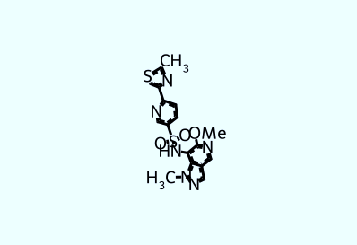 COc1ncc2cnn(C)c2c1NS(=O)(=O)c1ccc(-c2csc(C)n2)nc1